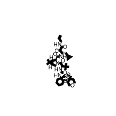 C=CCNC(=O)C(=O)[C@H](CC1CC1)NC(=O)[C@@H]1[C@@H]2[C@H](CN1C(=O)[C@@H](NC(=O)NC1(CS(=O)(=O)C3(C)CCOCC3)CCCCC1)C(C)(C)C)C2(C)C